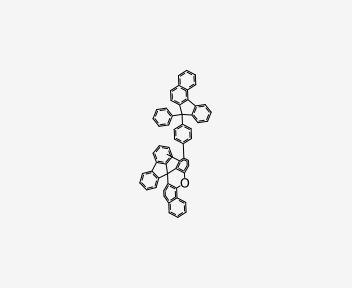 Cc1c(-c2ccc(C3(c4ccccc4)c4ccccc4-c4c3ccc3ccccc43)cc2)ccc2c1C1(c3ccccc3-c3ccccc31)c1ccc3ccccc3c1O2